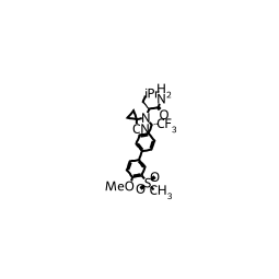 COc1ccc(-c2ccc([C@H](N([C@@H](CC(C)C)C(N)=O)C3(C#N)CC3)C(F)(F)F)cc2)cc1S(C)(=O)=O